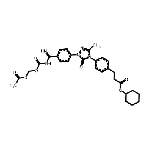 CC(=O)OCOC(=O)NC(=N)c1ccc(-n2nc(C)n(-c3ccc(CCC(=O)OC4CCCCC4)cc3)c2=O)cc1